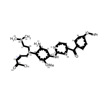 CCCOc1ccc(C(=O)c2ccnc(Nc3cc(N)c(N(C/C=C\C(=O)Cl)CCN(C)C)cc3OC)n2)cc1